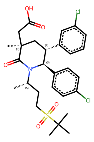 C[C@@H](CCS(=O)(=O)C(C)(C)C)N1C(=O)[C@@](C)(CC(=O)O)C[C@H](c2cccc(Cl)c2)[C@H]1c1ccc(Cl)cc1